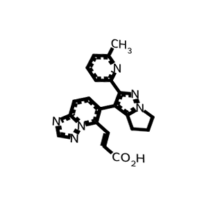 Cc1cccc(-c2nn3c(c2-c2ccc4ncnn4c2/C=C/C(=O)O)CCC3)n1